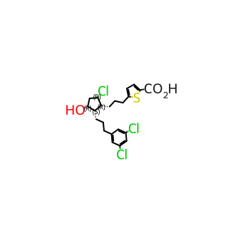 O=C(O)c1ccc(CCC[C@@H]2[C@H](CCCc3cc(Cl)cc(Cl)c3)[C@H](O)C[C@H]2Cl)s1